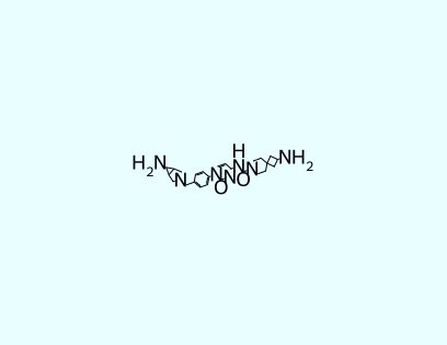 NC1CC2(CCN(C(=O)Nc3ccn(-c4ccc(CN5CC6C(N)C6C5)cc4)c(=O)n3)CC2)C1